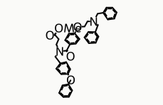 COC(=O)CCN(Cc1ccc(Oc2ccccc2)cc1)C(=O)c1ccc(OCCN(Cc2ccccc2)Cc2ccccc2)cc1